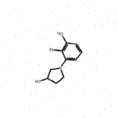 CCc1c(O)cccc1N1CCC(O)C1